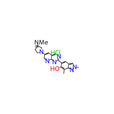 CN[C@@H]1CCN(c2cnc3nc(-c4cc5cn(C)nc5c(C)c4O)ncc3c2)C1.Cl